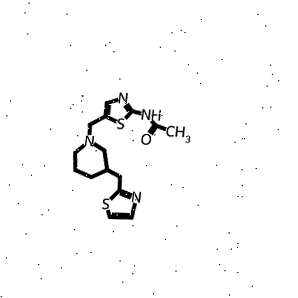 CC(=O)Nc1ncc(CN2CCCC(Cc3nccs3)C2)s1